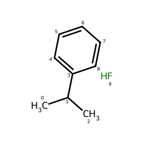 CC(C)c1ccccc1.F